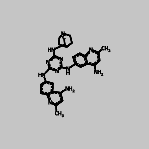 Cc1cc(N)c2cc(Nc3nc(Nc4ccc5nc(C)cc(N)c5c4)nc(NC4CN5CCC4CC5)n3)ccc2n1